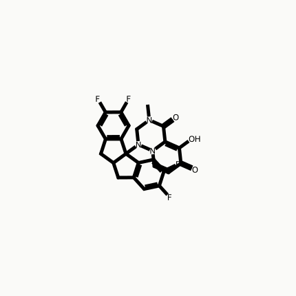 CN1CN(C23c4cc(F)c(F)cc4CC2Cc2cc(F)c(F)cc23)n2ccc(=O)c(O)c2C1=O